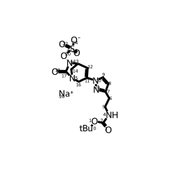 CC(C)(C)OC(=O)NCCc1ccn(C2=CC3CN(C2)C(=O)N3OS(=O)(=O)[O-])n1.[Na+]